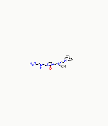 N#CCN(CC#N)CCN(CC#N)CCN1CCN(CCNCCN)C1=O